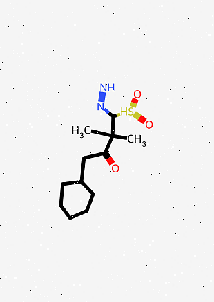 CC(C)(C(=O)CC1CCCCC1)C(N=N)[SH](=O)=O